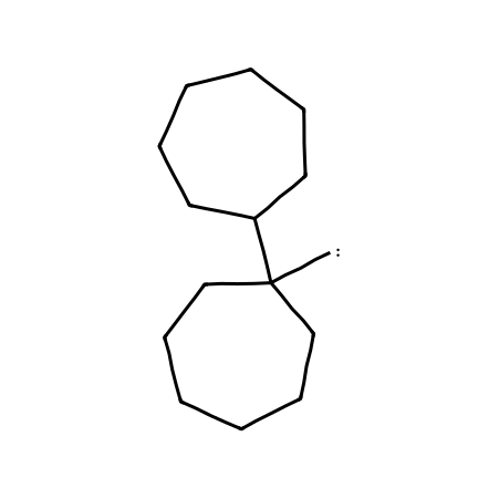 [CH]C1(C2CCCCCC2)CCCCCC1